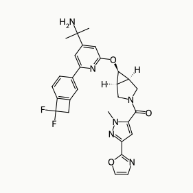 Cn1nc(-c2ncco2)cc1C(=O)N1C[C@@H]2[C@H](C1)[C@@H]2Oc1cc(C(C)(C)N)cc(-c2ccc3c(c2)CC3(F)F)n1